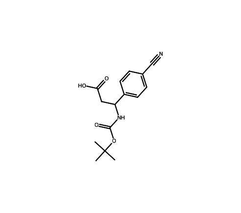 CC(C)(C)OC(=O)NC(CC(=O)O)c1ccc(C#N)cc1